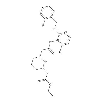 CCOC(=O)CC1CCCC(CC(=O)Nc2c(Cl)ncnc2NCc2ncccc2F)N1